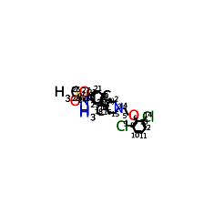 C[C@H]1CN(CCOc2c(Cl)cccc2Cl)CC[C@]1(C)c1cccc(NS(C)(=O)=O)c1